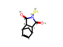 O=C1C2C3C=CC(C3)C2C(=O)N1S